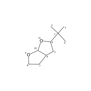 CC(C)(C)C1CC2CCOC2O1